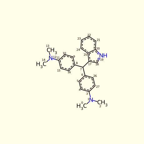 CN(C)c1ccc(C(c2ccc(N(C)C)cc2)c2c[nH]c3ccccc23)cc1